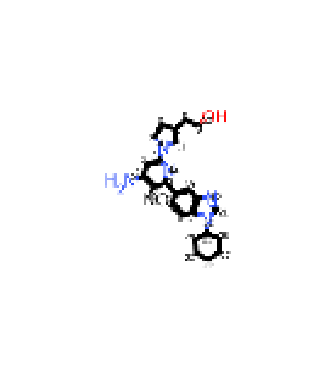 Nc1cc(N2CCC(CCO)C2)nc(-c2ccc3c(c2)ncn3C2CCCCC2)c1[N+](=O)[O-]